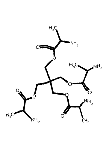 CC(N)C(=O)OCC(COC(=O)C(C)N)(COC(=O)C(C)N)COC(=O)C(C)N